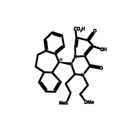 COCCN1C(=O)c2c(O)c(=O)c(C(=O)O)cn2N([C@@H]2c3ccccc3CCC3C=CC=CC32)C1CCSC